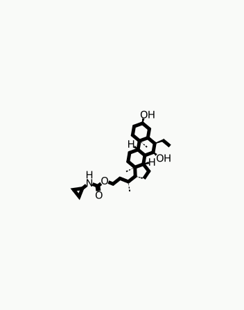 CC[C@@H]1C2C[C@H](O)CC[C@]2(C)[C@H]2CC[C@]3(C)[C@@H]([C@H](C)CCOC(=O)NC4CC4)CC[C@H]3C2[C@@H]1O